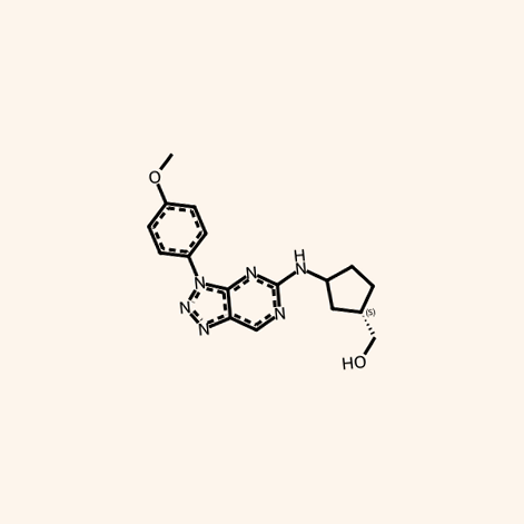 COc1ccc(-n2nnc3cnc(NC4CC[C@H](CO)C4)nc32)cc1